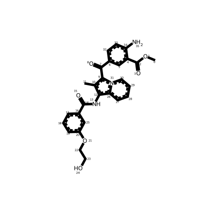 COC(=O)c1cc(C(=O)c2c(C)c(NC(=O)c3cccc(OCCO)c3)c3ccccn23)ccc1N